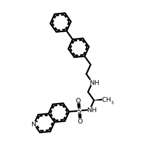 C[C@H](CNCCc1ccc(-c2ccccc2)cc1)NS(=O)(=O)c1ccc2cnccc2c1